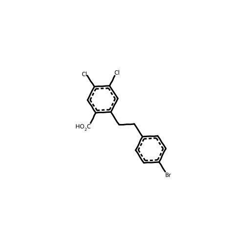 O=C(O)c1cc(Cl)c(Cl)cc1CCc1ccc(Br)cc1